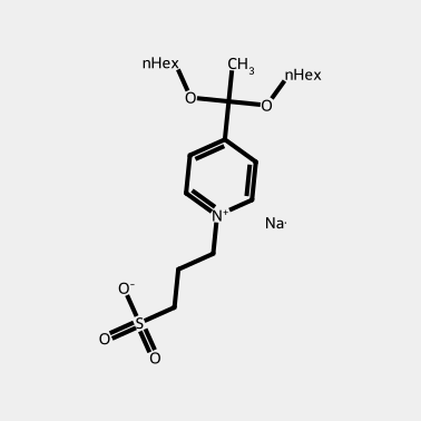 CCCCCCOC(C)(OCCCCCC)c1cc[n+](CCCS(=O)(=O)[O-])cc1.[Na]